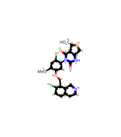 COc1cc(F)c(-n2c(=O)[nH]c3csc(C(=O)O)c3c2=O)cc1OCc1c(F)ccc2ccncc12